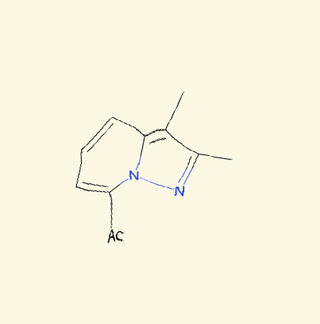 CC(=O)c1cccc2c(C)c(C)nn12